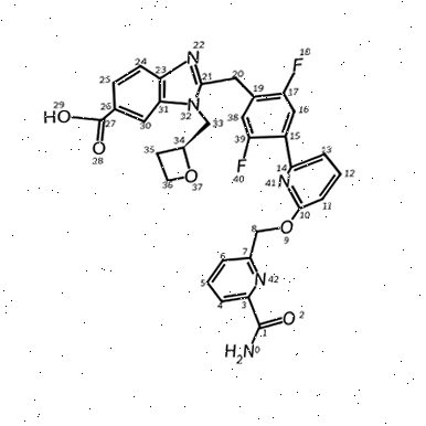 NC(=O)c1cccc(COc2cccc(-c3cc(F)c(Cc4nc5ccc(C(=O)O)cc5n4C[C@@H]4CCO4)cc3F)n2)n1